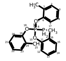 Cc1ccccc1O[PH](P)(Oc1ccccc1C)Oc1ccccc1C